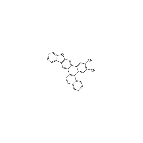 N#Cc1cc2c3cc4oc5ccccc5c4cc3c3ccc4ccccc4c3c2cc1C#N